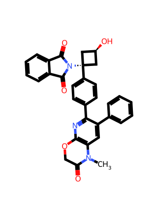 CN1C(=O)COc2nc(-c3ccc([C@]4(N5C(=O)c6ccccc6C5=O)C[C@H](O)C4)cc3)c(-c3ccccc3)cc21